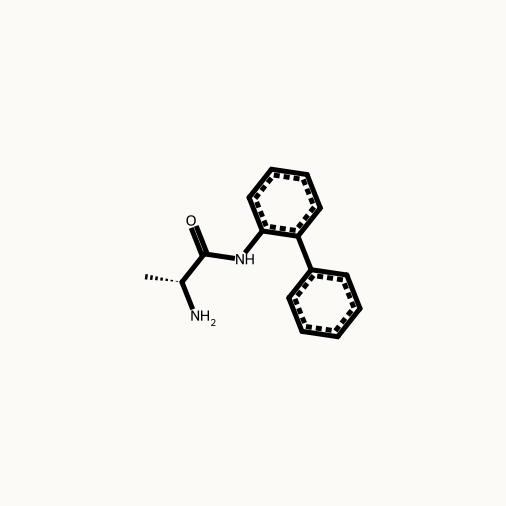 C[C@@H](N)C(=O)Nc1ccccc1-c1ccccc1